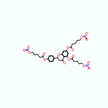 O=C(CCCCO[N+](=O)[O-])Oc1ccc(C2CC(=O)c3c(OC(=O)CCCCO[N+](=O)[O-])cc(OC(=O)CCCCO[N+](=O)[O-])cc3O2)cc1